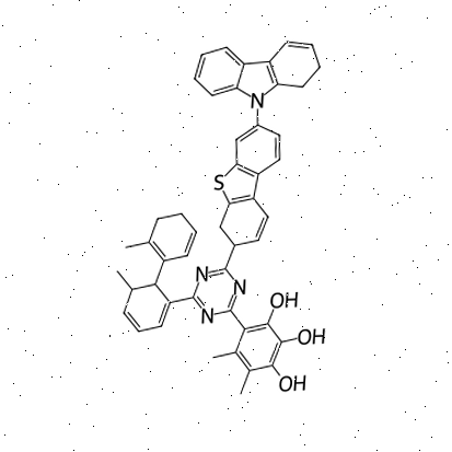 CC1=C(C2C(c3nc(-c4c(C)c(C)c(O)c(O)c4O)nc(C4C=Cc5c(sc6cc(-n7c8c(c9ccccc97)C=CCC8)ccc56)C4)n3)=CC=CC2C)C=CCC1